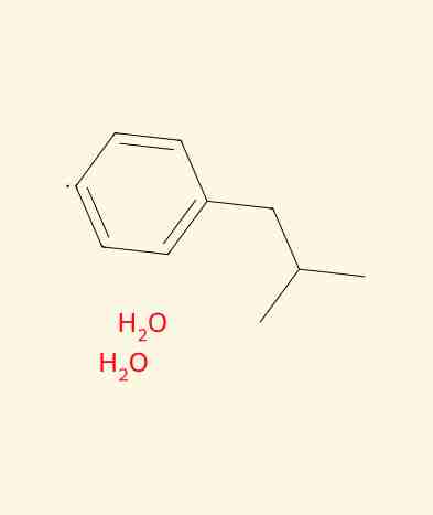 CC(C)Cc1cc[c]cc1.O.O